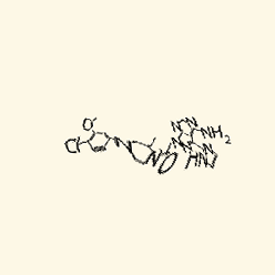 COc1cc(N2CCN(C(=O)Cn3nc(-c4ncc[nH]4)c4c(N)ncnc43)C(C)C2)ccc1Cl